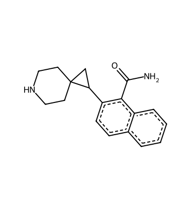 NC(=O)c1c(C2CC23CCNCC3)ccc2ccccc12